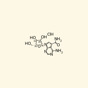 Cl.NC(=O)c1cn([C@@H]2O[C@H](CO)[C@@H](O)[C@H]2O)c2ncnc(N)c12